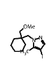 COCC1(Cn2ncc(I)c2C)CCCCC1